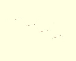 CC[CH]C(Cl)CC(Cl)C=CCl